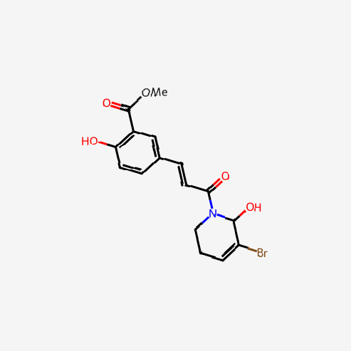 COC(=O)c1cc(/C=C/C(=O)N2CCC=C(Br)C2O)ccc1O